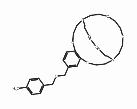 Cc1ccc(COCc2ccc3c(c2)OCCN2CCOCCOCCN(CCOCCOCC2)CCO3)cc1